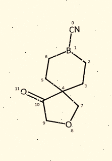 N#CB1CCC2(CC1)COCC2=O